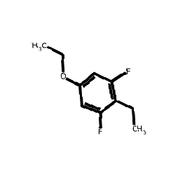 CCOc1cc(F)c(CC)c(F)c1